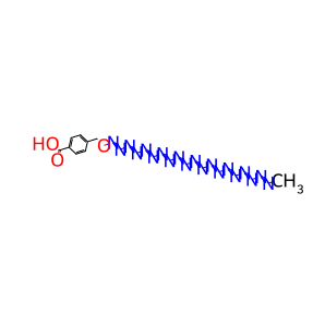 CN=NN=NN=NN=NN=NN=NN=NN=NN=NN=NOCc1ccc(C(=O)O)cc1